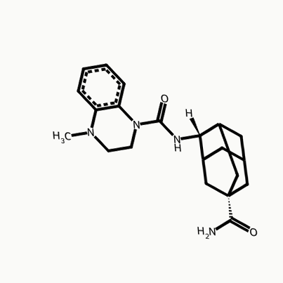 CN1CCN(C(=O)N[C@H]2C3CC4CC2C[C@@](C(N)=O)(C4)C3)c2ccccc21